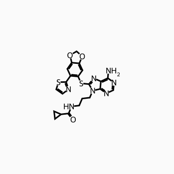 Nc1ncnc2c1nc(Sc1cc3c(cc1-c1nccs1)OCO3)n2CCCNC(=O)C1CC1